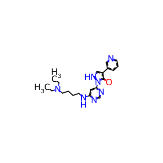 CCN(CC)CCCCNc1cc(-n2[nH]cc(-c3cccnc3)c2=O)ncn1